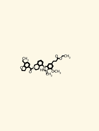 CCOC(=O)CCc1cc(OC)c2c(c1)N(c1cccc3c1CCN(C(=O)c1ccc(CC)c4c1CCO4)C3)NN2C